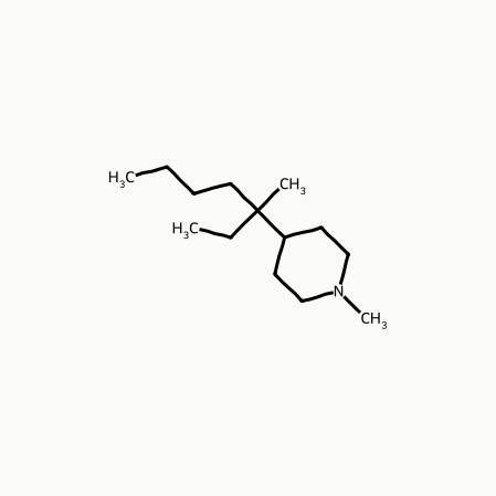 CCCCC(C)(CC)C1CCN(C)CC1